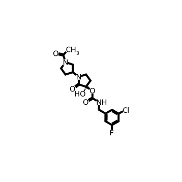 CC(=O)N1CCC(N2CC[C@@](O)(OC(=O)NCc3cc(F)cc(Cl)c3)C2=O)C1